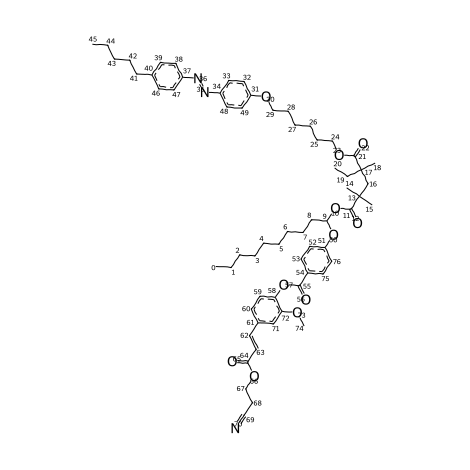 CCCCCCCCCC(OC(=O)C(C)(C)CC(C)(CC)C(=O)OCCCCCCOc1ccc(/N=N/c2ccc(CCCCC)cc2)cc1)Oc1ccc(C(=O)Oc2ccc(/C=C/C(=O)OCCC#N)cc2OC)cc1